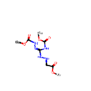 CC(C)(C)OC(=O)CNNC(=NNC(=O)OC(C)(C)C)NC(=O)OC(C)(C)C